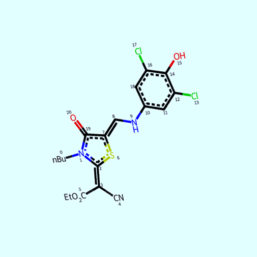 CCCCn1c(=C(C#N)C(=O)OCC)sc(=CNc2cc(Cl)c(O)c(Cl)c2)c1=O